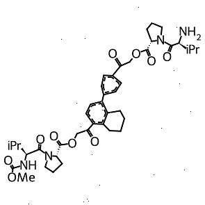 COC(=O)N[C@H](C(=O)N1CCC[C@H]1C(=O)OCC(=O)c1ccc(-c2ccc(C(=O)COC(=O)[C@@H]3CCCN3C(=O)[C@@H](N)C(C)C)cc2)c2c1CCCC2)C(C)C